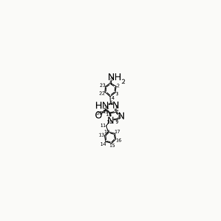 Nc1ccc(-c2nc3ncn(Cc4ccccc4)c3c(=O)[nH]2)cc1